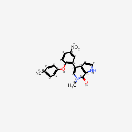 Cn1cc(-c2cc([N+](=O)[O-])ccc2Oc2ccc(C#N)cc2)c2cc[nH]c2c1=O